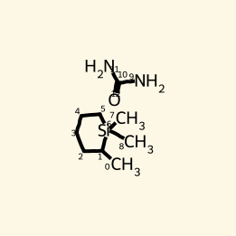 CC1CCCC[Si]1(C)C.NC(N)=O